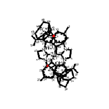 Cc1cc(N2CCN(c3c(C(C)C)cccc3C(C)C)[CH]2[Zr]([Cl])([Cl])[CH]2N(c3cc(C)cc(C45CC6CC(CC(C6)C4)C5)c3O)CCN2c2c(C(C)C)cccc2C(C)C)c(O)c(C23CC4CC(CC(C4)C2)C3)c1